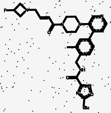 Cc1cc(-c2ccncc2N2CCN(C(=O)C=CCN3CC(F)C3)CC2)ccc1CNC(=O)c1noc(C(C)(C)C)n1